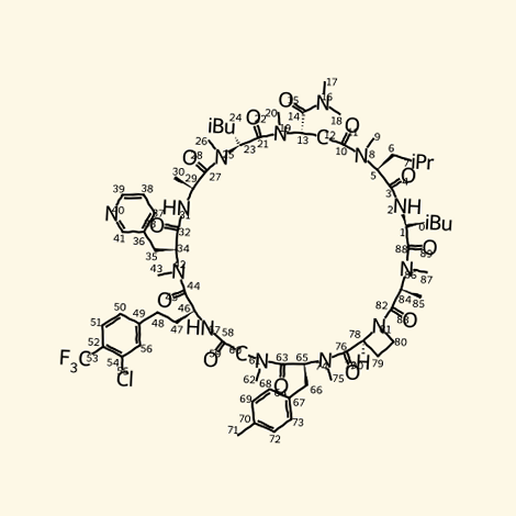 CC[C@H](C)[C@@H]1NC(=O)[C@H](CC(C)C)N(C)C(=O)C[C@@H](C(=O)N(C)C)N(C)C(=O)[C@H]([C@@H](C)CC)N(C)C(=O)[C@H](C)NC(=O)[C@H](Cc2cccnc2)N(C)C(=O)[C@H](CCc2ccc(C(F)(F)F)c(Cl)c2)NC(=O)CN(C)C(=O)[C@H](Cc2ccc(C)cc2)N(C)C(=O)[C@@H]2CCN2C(=O)[C@H](C)N(C)C1=O